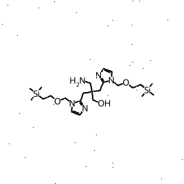 C[Si](C)(C)CCOCn1ccnc1CC(CN)(CO)Cc1nccn1COCC[Si](C)(C)C